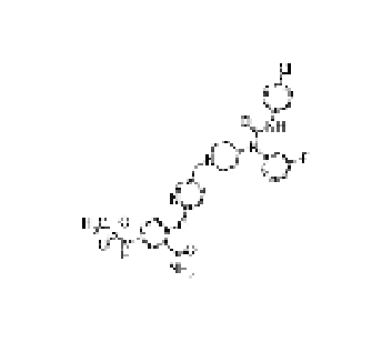 CS(=O)(=O)Nc1ccc(Oc2ccc(CN3CCC(N(C(=O)Nc4ccc(Cl)cc4)c4cccc(F)c4)CC3)cn2)c(C(N)=O)c1